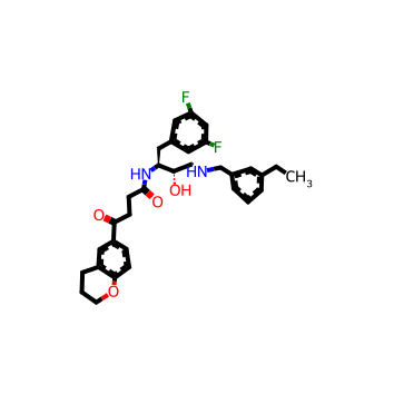 CCc1cccc(CNC[C@H](O)[C@H](Cc2cc(F)cc(F)c2)NC(=O)CCC(=O)c2ccc3c(c2)CCCO3)c1